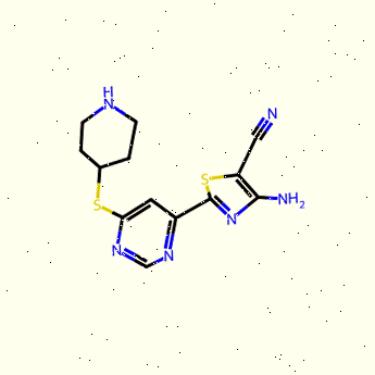 N#Cc1sc(-c2cc(SC3CCNCC3)ncn2)nc1N